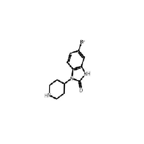 O=c1[nH]c2cc(Br)ccc2n1C1CCNCC1